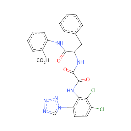 O=C(Nc1c(-n2cnnn2)ccc(Cl)c1Cl)C(=O)NC(Cc1ccccc1)C(=O)Nc1ccccc1C(=O)O